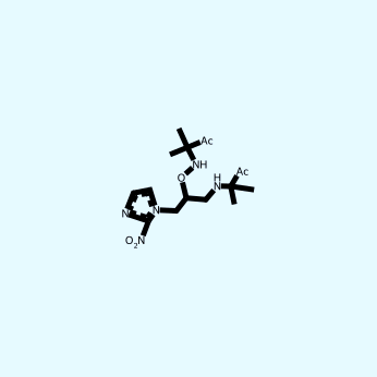 CC(=O)C(C)(C)NCC(Cn1ccnc1[N+](=O)[O-])ONC(C)(C)C(C)=O